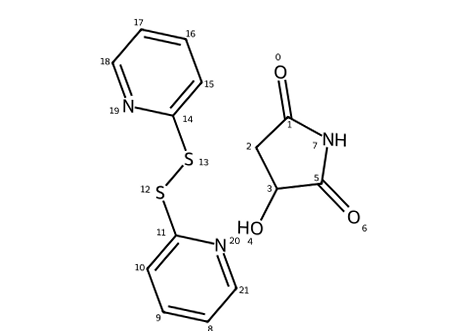 O=C1CC(O)C(=O)N1.c1ccc(SSc2ccccn2)nc1